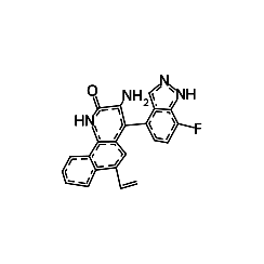 C=Cc1cc2c(-c3ccc(F)c4[nH]ncc34)c(N)c(=O)[nH]c2c2ccccc12